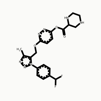 Cc1nnn(-c2ccc(C(F)F)cc2)c1COc1ccc(OC(=O)C2CNCCN2)nn1